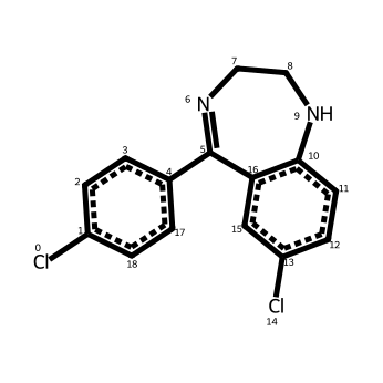 Clc1ccc(C2=NCCNc3ccc(Cl)cc32)cc1